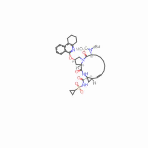 CC(C)(C)N(C(=O)O)[C@H]1CCCCCC=C[C@@H]2C[C@@]2(C(=O)NS(=O)(=O)C2CC2)NC(=O)[C@@H]2C[C@@H](Oc3nc4c(c5ccccc35)CCCC4)CN2C1=O